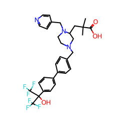 CC(C)(CC1CN(Cc2ccc(-c3ccc(C(O)(C(F)(F)F)C(F)(F)F)cc3)cc2)CCN1Cc1ccncc1)C(=O)O